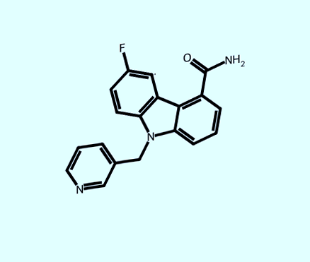 NC(=O)c1cccc2c1c1[c]c(F)ccc1n2Cc1cccnc1